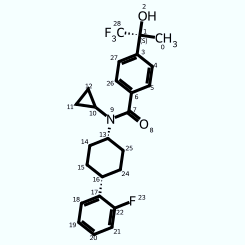 C[C@](O)(c1ccc(C(=O)N(C2CC2)[C@H]2CC[C@@H](c3ccccc3F)CC2)cc1)C(F)(F)F